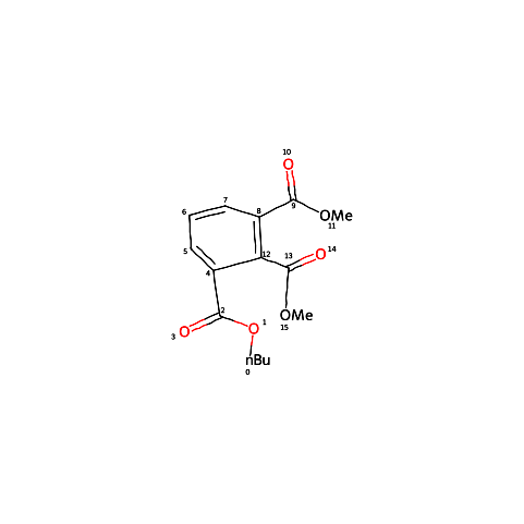 CCCCOC(=O)c1cccc(C(=O)OC)c1C(=O)OC